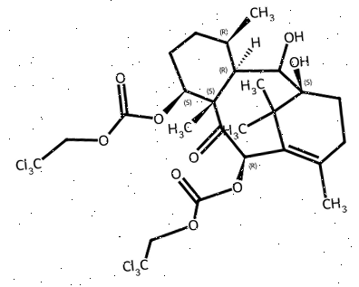 CC1=C2[C@@H](OC(=O)OCC(Cl)(Cl)Cl)C(=O)[C@]3(C)[C@@H](OC(=O)OCC(Cl)(Cl)Cl)CC[C@@H](C)[C@H]3C(O)[C@](O)(CC1)C2(C)C